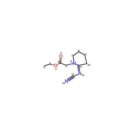 CCOC(=O)CN1CCCC/C1=N/C#N